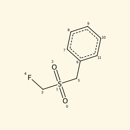 O=S(=O)(CF)Cc1ccccc1